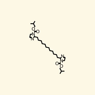 CC(C)COC(=O)N1CC=NC1CCCCCCCCCCCCC1N=CCN1C(=O)OCC(C)C